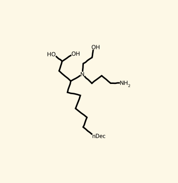 CCCCCCCCCCCCCCCC(CC(O)O)N(CCO)CCCN